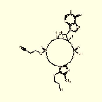 C=N/C=N\c1c(C)nc2n1CCOP(=S)(OCCC#N)OC[C@H]1O[C@@H](n3cnc4c(=O)[nH]cnc43)[C@H](OP(=O)(S)OC2)[C@@H]1F